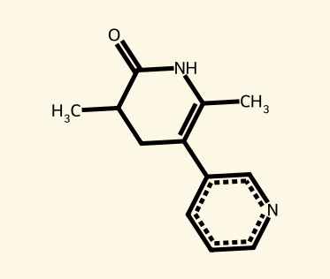 CC1=C(c2cccnc2)CC(C)C(=O)N1